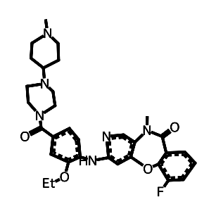 CCOc1cc(C(=O)N2CCN(C3CCN(C)CC3)CC2)ccc1Nc1cc2c(cn1)N(C)C(=O)c1cccc(F)c1O2